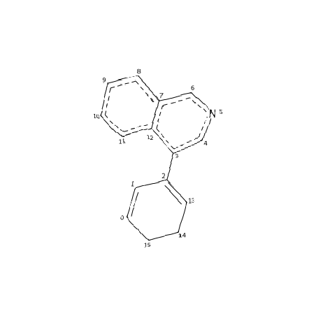 C1=CC(c2cncc3ccccc23)=CCC1